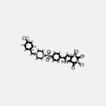 CCn1c(=O)c2[nH]c(-c3ccc(S(=O)(=O)N4CCN(Cc5ccc(Cl)cc5)CC4)cc3)cc2n(CC)c1=O